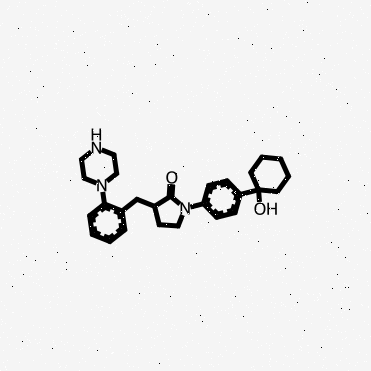 O=C1C(Cc2ccccc2N2CCNCC2)CCN1c1ccc(C2(O)CCCCC2)cc1